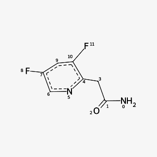 NC(=O)Cc1ncc(F)cc1F